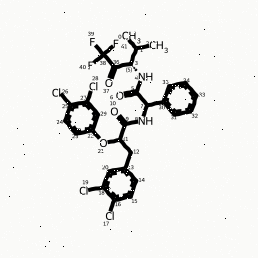 CC(C)[C@H](NC(=O)C(NC(=O)C(Cc1ccc(Cl)c(Cl)c1)Oc1ccc(Cl)c(Cl)c1)c1ccccc1)C(=O)C(F)(F)F